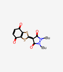 CCC(C)N1C(=O)C(=C2SC3=C(S2)C(=O)C=CC3=O)C(=O)N1C(C)CC